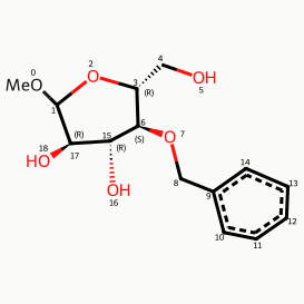 COC1O[C@H](CO)[C@@H](OCc2ccccc2)[C@H](O)[C@H]1O